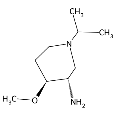 CO[C@H]1CCN(C(C)C)C[C@@H]1N